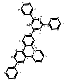 C1=CB2c3cc(-c4ccccc4)ccc3-c3ccc(-c4nc(-c5ccccc5)nc(-c5ccccc5)n4)cc3N2C=C1